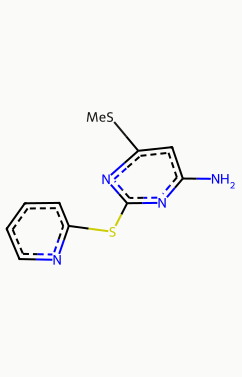 CSc1cc(N)nc(Sc2ccccn2)n1